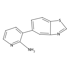 Nc1ncccc1-c1ccc2scnc2c1